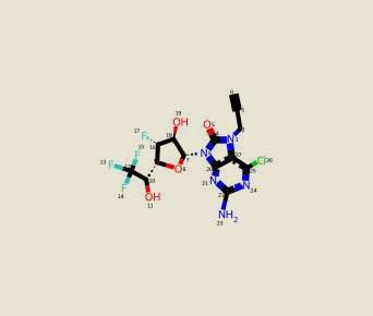 C#CCn1c(=O)n([C@@H]2O[C@H](C(O)C(F)(F)F)[C@H](F)[C@H]2O)c2nc(N)nc(Cl)c21